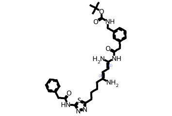 CC(C)(C)OC(=O)NCc1cccc(CC(=O)N/C(N)=C/C=C(\N)CCCCc2nnc(NC(=O)Cc3ccccc3)s2)c1